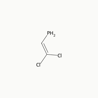 PC=C(Cl)Cl